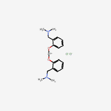 CN(C)Cc1ccccc1[O][Zr+2][O]c1ccccc1CN(C)C.[Cl-].[Cl-]